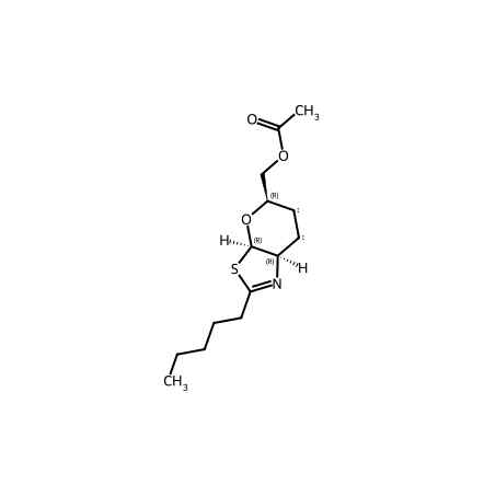 CCCCCC1=N[C@@H]2[C][C][C@H](COC(C)=O)O[C@@H]2S1